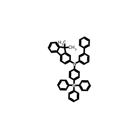 CC1(C)c2ccccc2-c2ccc(N(c3ccc([Si](c4ccccc4)(c4ccccc4)c4ccccc4)cc3)c3cccc(-c4ccccc4)c3)cc21